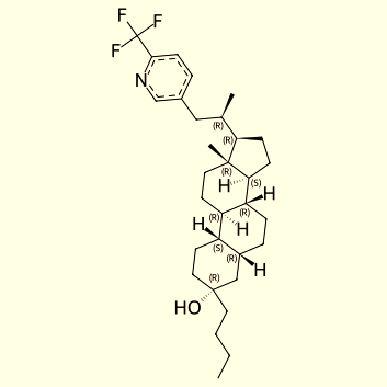 CCCC[C@@]1(O)CC[C@H]2[C@H](CC[C@@H]3[C@@H]2CC[C@]2(C)[C@@H]([C@H](C)Cc4ccc(C(F)(F)F)nc4)CC[C@@H]32)C1